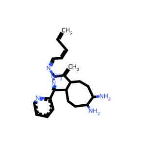 C=C/C=C\C=N/CC(=C)C1CCC(N)C(N)CCC1/C(=N\N)c1ccccn1